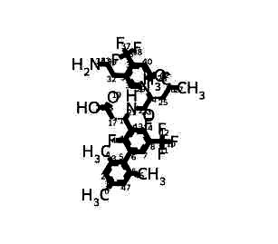 Cc1cc(C)c(-c2cc(C(F)(F)F)c(F)c([C@H](CC(=O)O)NC(=O)[C@H](CC(C)C)n3cc(CCN)c(C(F)(F)F)cc3=O)c2F)c(C)c1